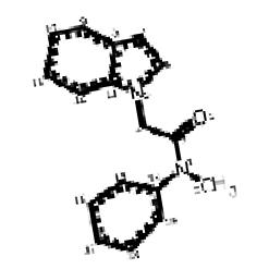 CN(C(=O)Cn1ccc2c[c]ccc21)c1ccccc1